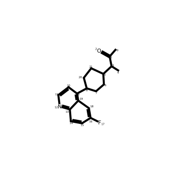 CC(=O)C(C)C1CCC(c2ccnc3ccc(F)cc23)CC1